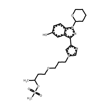 CC(CCOCCCn1cnc(-c2nn(C3CCCCO3)c3ccc(O)cc23)c1)OS(C)(=O)=O